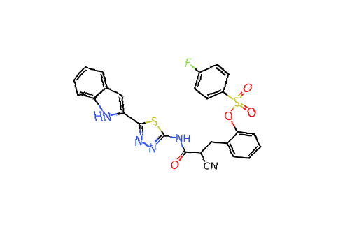 N#CC(Cc1ccccc1OS(=O)(=O)c1ccc(F)cc1)C(=O)Nc1nnc(-c2cc3ccccc3[nH]2)s1